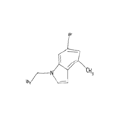 Cc1cc(Br)cc2c1ccn2CC(C)C